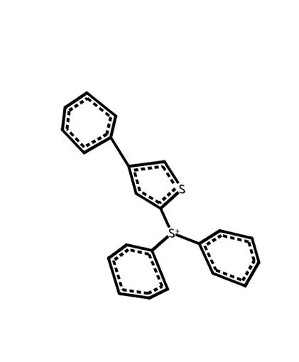 c1ccc(-c2csc([S+](c3ccccc3)c3ccccc3)c2)cc1